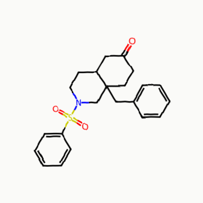 O=C1CCC2(Cc3ccccc3)CN(S(=O)(=O)c3ccccc3)CCC2C1